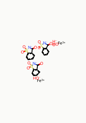 O=C1[N-]S(=O)(=O)c2ccccc21.O=C1[N-]S(=O)(=O)c2ccccc21.O=C1[N-]S(=O)(=O)c2ccccc21.[Fe+3].[Fe+3].[OH-].[OH-].[OH-]